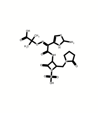 CC(C)(O/N=C(\C(=O)NC1C(=O)N(S(=O)(=O)O)C1CN1CCCC1=O)C1=CSC(N)N1)C(=O)O